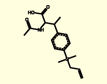 C=CC[Si](C)(C)c1ccc(C(C)C(NC(C)=O)C(=O)O)cc1